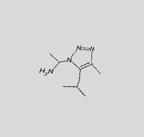 Cc1nnn(C(C)N)c1C(C)C